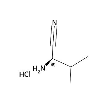 CC(C)[C@@H](N)C#N.Cl